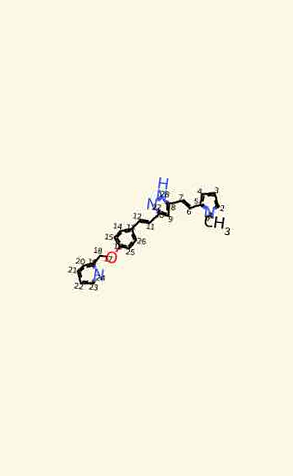 Cn1cccc1C=Cc1cc(C=Cc2ccc(OCc3ccccn3)cc2)n[nH]1